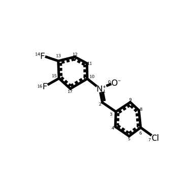 [O-][N+](=Cc1ccc(Cl)cc1)c1ccc(F)c(F)c1